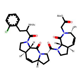 CCC[C@@H]1C=C[C@H]2CCN(C(=O)[C@@H]3CC[C@@H]4C=C[C@H]5CCN(C(=O)C(Cc6ccccc6Cl)NC(C)=O)[C@@H]5C(=O)N43)[C@@H]2C(=O)N1CC(=O)OC